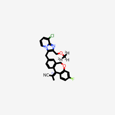 [2H]C([2H])([2H])OCc1nc2c(Cl)cccn2c1Cc1ccc2c(c1)COc1cc(F)ccc1/C2=C(\C)C#N